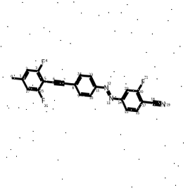 Cc1cc(F)c(C#Cc2ccc(N=Nc3ccc(C#N)c(F)c3)cc2)c(F)c1